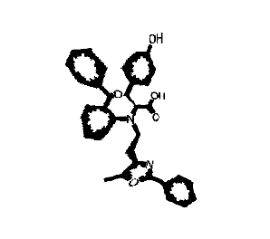 Cc1oc(-c2ccccc2)nc1CCN(c1ccccc1C(=O)c1ccccc1)[C@@H](Cc1ccc(O)cc1)C(=O)O